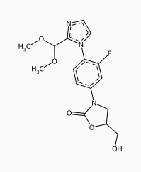 COC(OC)c1nccn1-c1ccc(N2CC(CO)OC2=O)cc1F